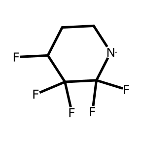 FC1CC[N]C(F)(F)C1(F)F